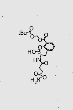 CC(C)(C)C(=O)OCOC(=O)c1cccc2c1OB(O)C(NC(=O)CCS(N)(=O)=O)C2